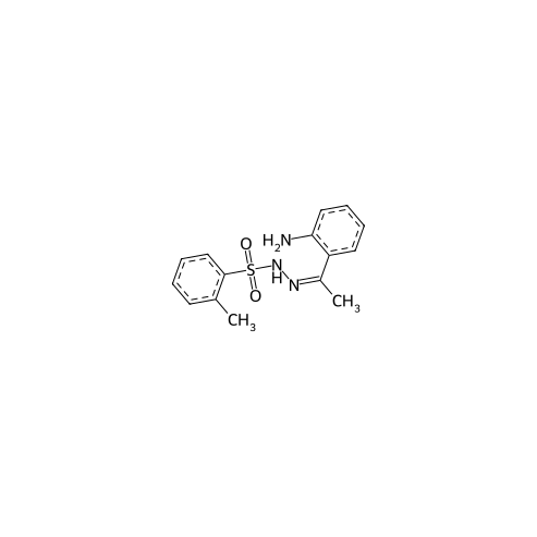 CC(=NNS(=O)(=O)c1ccccc1C)c1ccccc1N